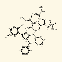 C[C@H](CO)NC(=O)N(C[C@H]1CN(C(=O)OC(C)(C)C)C[C@@H]1O[Si](C)(C)C(C)(C)C)[C@@H](c1nc(-c2cc(F)ccc2F)cn1Cc1ccccc1)C1CCOCC1